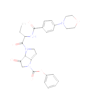 CC(C)CC(NC(=O)c1ccc(N2CCOCC2)cc1)C(=O)N1CC=C2C1C(=O)CN2C(=O)Oc1ccccc1